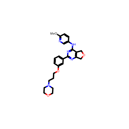 COc1ccc(Nc2nc(-c3cccc(OCCCN4CCOCC4)c3)nc3c2COC3)cn1